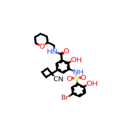 N#CC1(c2cc(NS(=O)(=O)c3cc(Br)ccc3O)c(O)c(C(=O)NCC3CCCCO3)c2)CCC1